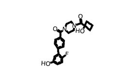 O=C(c1ccc(-c2cc(O)ccc2F)cc1)N1CCN(C(=O)C2(O)CCC2)CC1